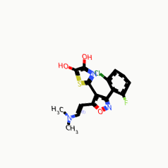 CN(C)/C=C/c1onc(-c2c(F)cccc2Cl)c1-c1nc(O)c(O)s1